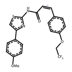 COc1ccc(-c2csc(NC(=O)/C=C\c3ccc(OCC(F)(F)F)cc3)n2)cc1